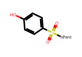 CCCCCS(=O)(=O)c1ccc(O)cc1